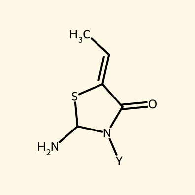 C/C=C1\SC(N)[N]([Y])C1=O